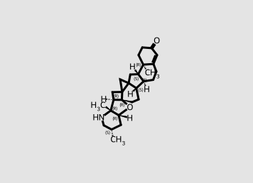 C[C@@H]1CN[C@]2(C)[C@H]3CC45CC46C[C@H]4[C@@H](CCC7=CC(=O)CC[C@@]74C)[C@@H]6CC[C@@]35O[C@@H]2C1